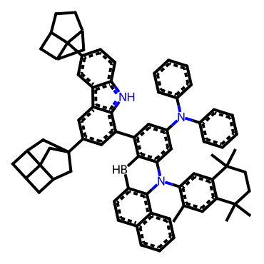 Cc1cc2c(cc1N1c3cc(N(c4ccccc4)c4ccccc4)cc(-c4cc(C56CC7CC8CC(C5)C87C6)cc5c4[nH]c4ccc(C67C8CCC6CC7C8)cc45)c3Bc3ccc4ccccc4c31)C(C)(C)CCC2(C)C